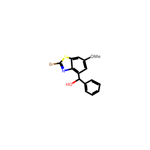 COc1cc(C(O)c2ccccc2)c2nc(Br)sc2c1